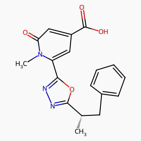 C[C@@H](Cc1ccccc1)c1nnc(-c2cc(C(=O)O)cc(=O)n2C)o1